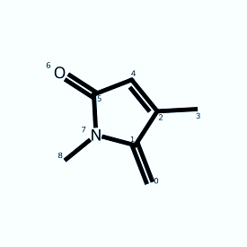 C=C1C(C)=CC(=O)N1C